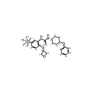 O=C(Nc1cc(S(F)(F)(F)(F)F)ccc1OC1COC1)N[C@H]1CC[C@H](Oc2ncccn2)CC1